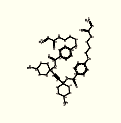 C=CC(=O)OCCCOc1ccc(C(=O)OC2(C#CC3(OC(=O)c4ccc(OCCCOC(=O)C=C)cc4)CCC(CCC)CC3)CCC(CCC)CC2)cc1